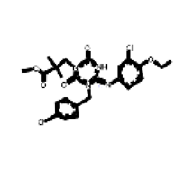 CCOc1ccc(/N=c2\[nH]c(=O)n(CC(C)(C)C(=O)OC)c(=O)n2Cc2ccc(Cl)cc2)cc1Cl